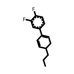 CCCC1C=CC(c2ccc(F)c(F)c2)=CC1